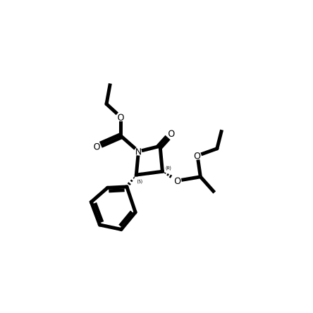 CCOC(=O)N1C(=O)[C@H](OC(C)OCC)[C@@H]1c1ccccc1